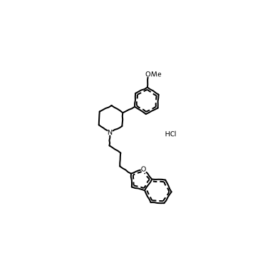 COc1cccc(C2CCCN(CCCc3cc4ccccc4o3)C2)c1.Cl